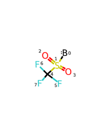 [B]S(=O)(=O)C(F)(F)F